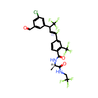 C[C@@H](NC(=O)c1ccc(/C(F)=C/C(c2cc(Cl)cc(C=O)c2)C(F)(F)F)cc1C(F)(F)F)C(=O)NCC(F)(F)F